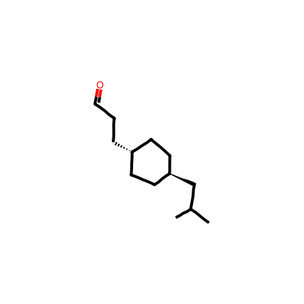 CC(C)C[C@H]1CC[C@H](CCC=O)CC1